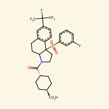 O=C(O)[C@H]1CC[C@H](C(=O)N2CCC3(S(=O)(=O)c4cccc(F)c4)c4ccc(C(F)(C(F)(F)F)C(F)(F)F)cc4CCC23)CC1